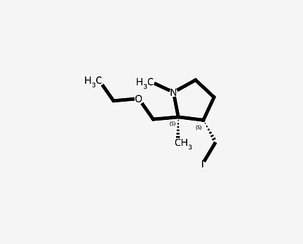 CCOC[C@]1(C)[C@@H](CI)CCN1C